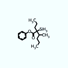 CCCC(C)C([SiH3])(CCC)C(=O)Oc1ccccc1